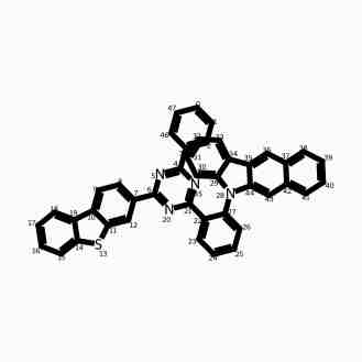 c1ccc(-c2nc(-c3ccc4c(c3)sc3ccccc34)nc(-c3ccccc3-n3c4ccccc4c4cc5ccccc5cc43)n2)cc1